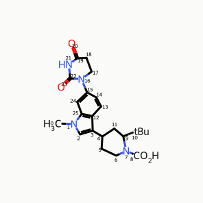 Cn1cc(C2CCN(C(=O)O)C(C(C)(C)C)C2)c2ccc(N3CCC(=O)NC3=O)cc21